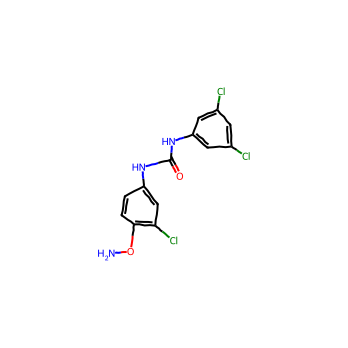 NOc1ccc(NC(=O)Nc2cc(Cl)cc(Cl)c2)cc1Cl